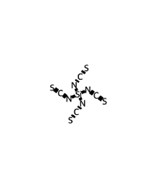 S=C=N[Si](N=C=S)(N=C=S)N=C=S